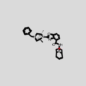 C[C@H]1CN(Cc2ccccc2)C[C@H](C)N1c1nc2c(C(=O)NC3CC4CCCC(C3)N4C)cccc2o1